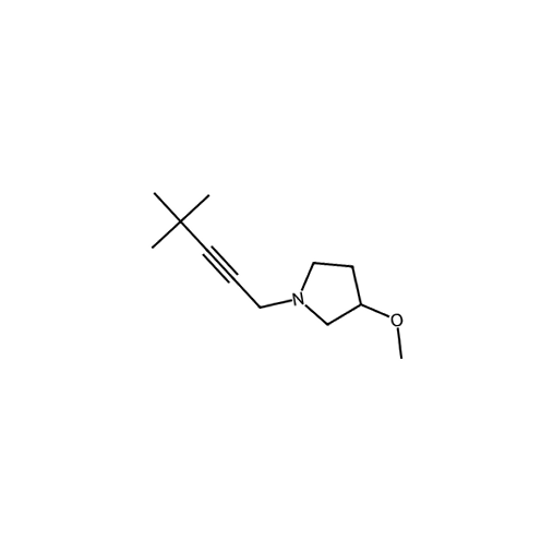 COC1CCN(CC#CC(C)(C)C)C1